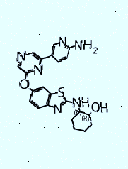 Nc1ccc(-c2cncc(Oc3ccc4nc(N[C@@H]5CCCC[C@H]5O)sc4c3)n2)cn1